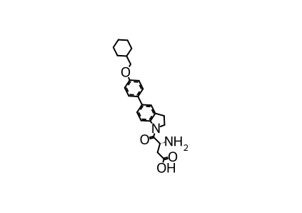 N[C@H](CC(=O)O)C(=O)N1CCc2cc(-c3ccc(OCC4CCCCC4)cc3)ccc21